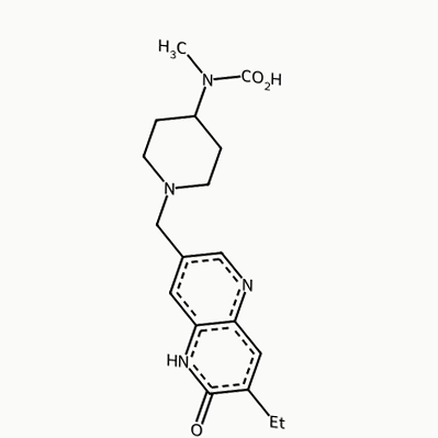 CCc1cc2ncc(CN3CCC(N(C)C(=O)O)CC3)cc2[nH]c1=O